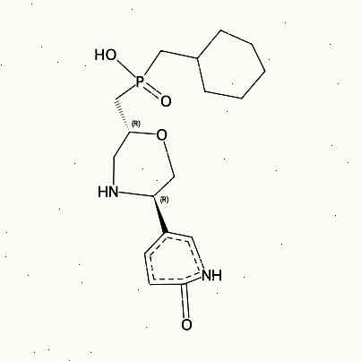 O=c1ccc([C@@H]2CO[C@@H](CP(=O)(O)CC3CCCCC3)CN2)c[nH]1